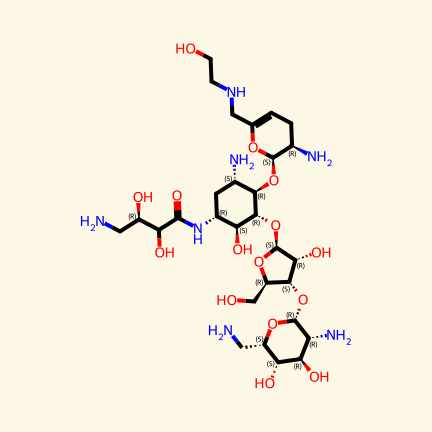 NC[C@@H](O)C(O)C(=O)N[C@@H]1C[C@H](N)[C@@H](O[C@H]2OC(CNCCO)=CC[C@H]2N)[C@H](O[C@@H]2O[C@H](CO)[C@@H](O[C@H]3O[C@@H](CN)[C@@H](O)[C@H](O)[C@H]3N)[C@H]2O)[C@H]1O